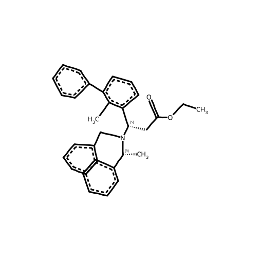 CCOC(=O)C[C@@H](c1cccc(-c2ccccc2)c1C)N(Cc1ccccc1)[C@H](C)c1ccccc1